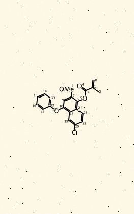 C=C(C)C(=O)Oc1c(OC)cc(Oc2ccccc2)c2cc(Cl)ccc12